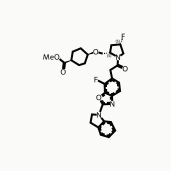 COC(=O)[C@H]1CC[C@@H](OC[C@@H]2C[C@H](F)CN2C(=O)Cc2ccc3nc(N4CCc5ccccc54)oc3c2F)CC1